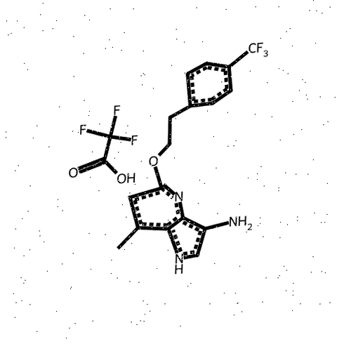 Cc1cc(OCCc2ccc(C(F)(F)F)cc2)nc2c(N)c[nH]c12.O=C(O)C(F)(F)F